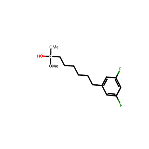 CO[Si](O)(CCCCCCc1cc(F)cc(F)c1)OC